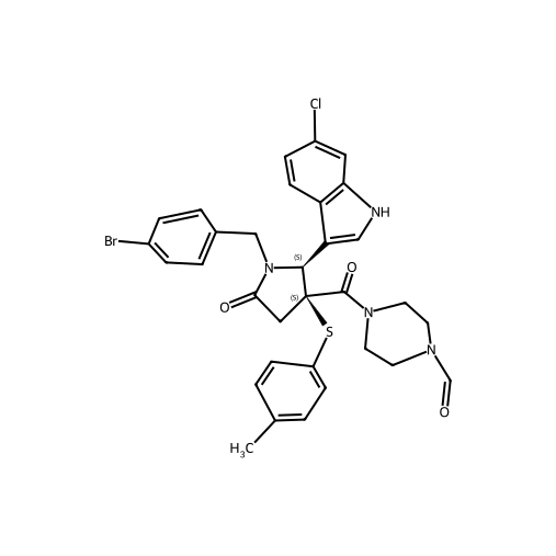 Cc1ccc(S[C@@]2(C(=O)N3CCN(C=O)CC3)CC(=O)N(Cc3ccc(Br)cc3)[C@H]2c2c[nH]c3cc(Cl)ccc23)cc1